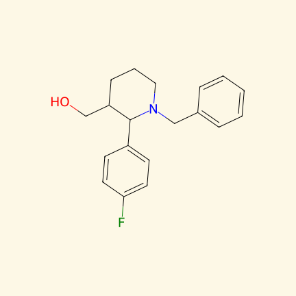 OCC1CCCN(Cc2ccccc2)C1c1ccc(F)cc1